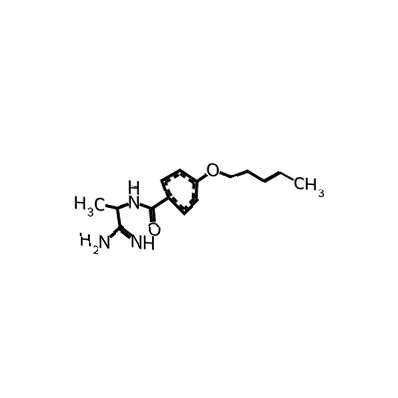 CCCCCOc1ccc(C(=O)NC(C)C(=N)N)cc1